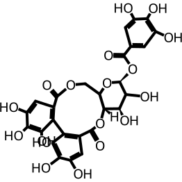 O=C(O[C@@H]1OC2COC(=O)c3cc(O)c(O)c(O)c3-c3c(cc(O)c(O)c3O)C(=O)O[C@H]2[C@H](O)C1O)c1cc(O)c(O)c(O)c1